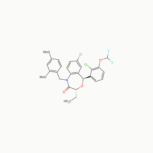 COc1ccc(CN2C(=O)[C@@H](CC(=O)O)O[C@H](c3cccc(OC(F)F)c3Cl)c3cc(Cl)ccc32)c(OC)c1